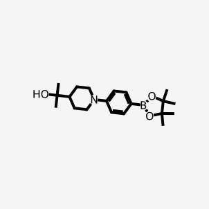 CC(C)(O)C1CCN(c2ccc(B3OC(C)(C)C(C)(C)O3)cc2)CC1